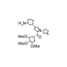 COc1cc(C(=O)c2cc(-c3cccc(N)c3)cn2-c2ccsc2)cc(OC)c1OC